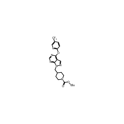 CC(C)(C)OC(=O)N1CCC(Cn2ncc3c(Oc4ccc(C(F)(F)F)cn4)ncnc32)CC1